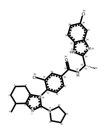 CC1CCCc2c1nc(N1CCCC1)n2-c1ccc(C(=O)N[C@@H](C)c2nc3cc(Cl)ccc3[nH]2)cc1Cl